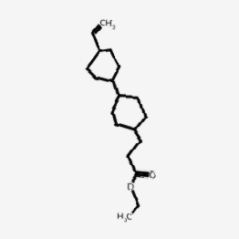 C=CC1CCC(C2CCC(CCC(=O)OCC)CC2)CC1